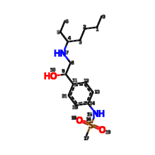 CCCCC(CC)NCC(O)c1ccc(NS(C)(=O)=O)cc1